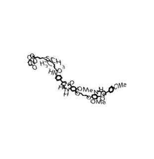 COc1ccc(C2=CN3C(=O)c4cc(OC)c(OCCCOc5cc6c(cc5OC)C(=O)N5C=C(c7ccc(NC(=O)CCC(C)(C)SSCCCC(=O)ON8C(=O)CCC8=O)cc7)C[C@H]5CN6)cc4N=C[C@@H]3C2)cc1